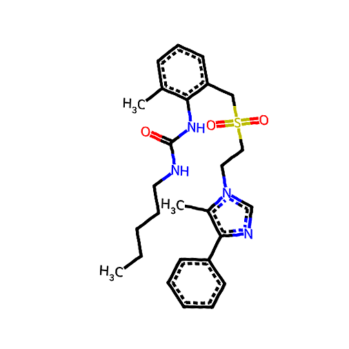 CCCCCNC(=O)Nc1c(C)cccc1CS(=O)(=O)CCn1cnc(-c2ccccc2)c1C